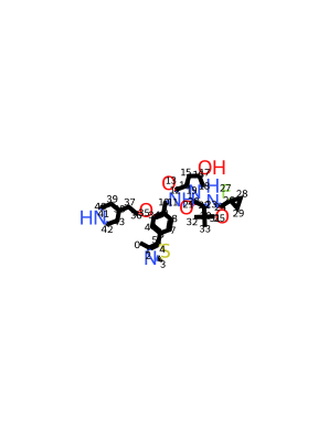 Cc1ncsc1-c1ccc(CNC(=O)C2CC(O)CN2C(=O)C(NC(=O)C2(F)CC2)C(C)(C)C)c(OCCC2CCNCC2)c1